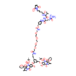 C=C1C[C@H]2[C@H](OC3CCCCO3)N(C(=O)OC(C)(C)C)c3cc(OCc4cc(C#CCNC(=O)CCOCCOCCOCCOCCNC(=O)OCc5ccc(NC(=O)[C@H](CCCNC(N)=O)NC(=O)[C@@H](NC(=O)CCCCCN6C(=O)C=CC6=O)C(C)C)cc5)cc(COc5cc6c(cc5OC)C(=O)N5CC(=C)C[C@H]5[C@H](OC5CCCCO5)N6C(=O)OC(C)(C)C)c4)c(OC)cc3C(=O)N2C1